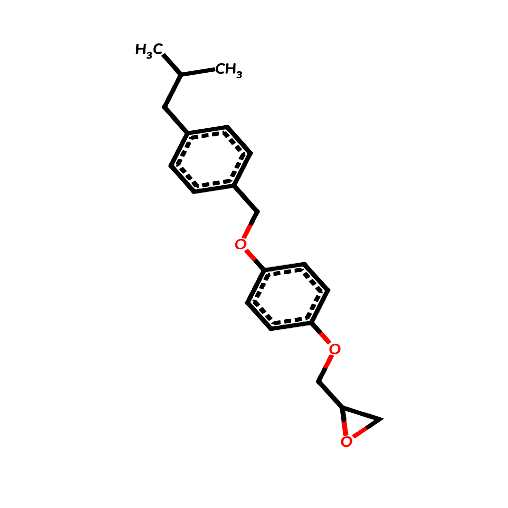 CC(C)Cc1ccc(COc2ccc(OCC3CO3)cc2)cc1